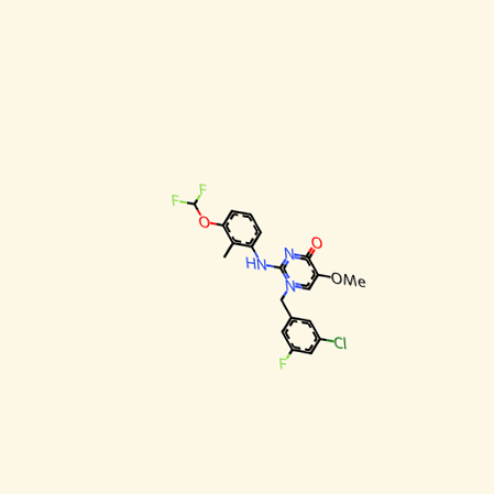 COc1cn(Cc2cc(F)cc(Cl)c2)c(Nc2cccc(OC(F)F)c2C)nc1=O